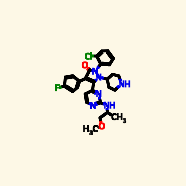 COCC(C)Nc1nccc(-c2c(-c3ccc(F)cc3)c(=O)n(-c3ccccc3Cl)n2C2CCNCC2)n1